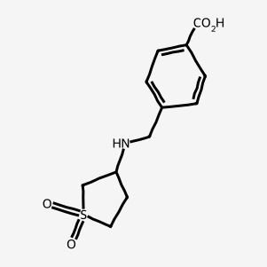 O=C(O)c1ccc(CNC2CCS(=O)(=O)C2)cc1